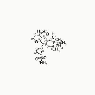 Cc1cc(C(c2cc(S(N)(=O)=O)cs2)C2CCCCO2)c(CO[SiH3])c(C)c1C(C)(C)C